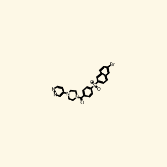 O=C(c1ccc(S(=O)(=O)c2ccc3cc(Br)ccc3c2)cc1)N1CCN(c2ccnnc2)CC1